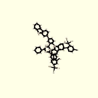 Cc1ccc(-c2ccc3c(c2)c2cc(-c4ccc(C(F)(F)F)cc4C)ccc2n3-c2ccc(-c3ccc4c(c3)oc3ccccc34)cc2-c2nc(-c3ccccc3)nc(-c3ccccc3)n2)c(C(F)(F)F)c1